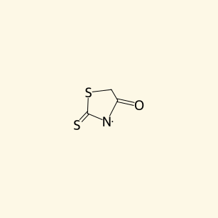 O=C1CSC(=S)[N]1